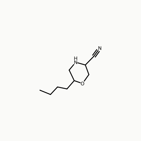 CCCCC1CNC(C#N)CO1